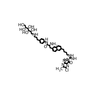 Cc1nc(N)c(C(=O)NC(=N)NCCCCc2ccc3cc(C[C@H](N)C(=O)Nc4ccc(CCCNC[C@H](O)[C@@H](O)[C@H](O)[C@H](O)CO)cc4)ccc3c2)nc1Cl